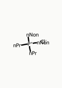 CCCCCCCCC[P+](CCC)(CCC)CCCCCCCCC.[Cl-]